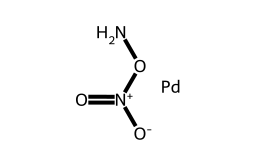 NO[N+](=O)[O-].[Pd]